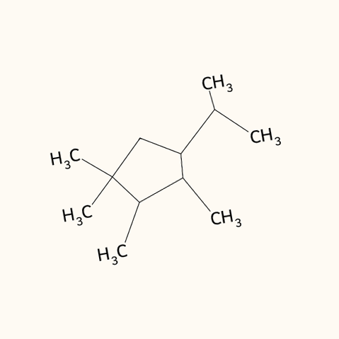 CC(C)C1CC(C)(C)C(C)C1C